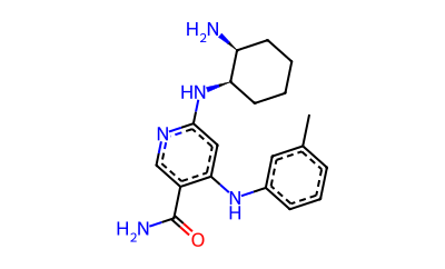 Cc1cccc(Nc2cc(N[C@@H]3CCCC[C@@H]3N)ncc2C(N)=O)c1